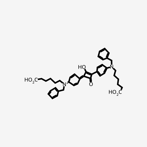 O=C(O)CCCCCN(Cc1ccccc1)c1ccc(C2=C(O)C(=C3C=CC(=[N+](CCCCCC(=O)O)Cc4ccccc4)C=C3)C2=O)cc1